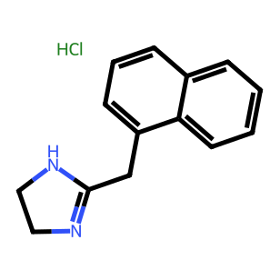 Cl.c1ccc2c(CC3=NCCN3)cccc2c1